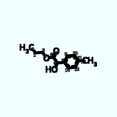 CCCOC(=O)C(O)c1ccc(C)cc1